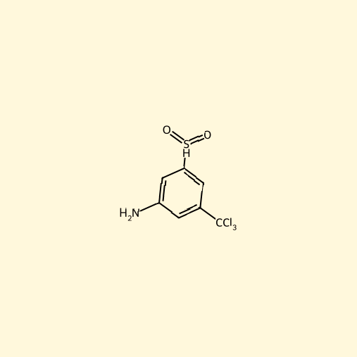 Nc1cc([SH](=O)=O)cc(C(Cl)(Cl)Cl)c1